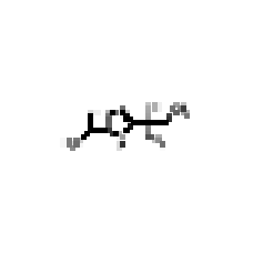 CCC(C)(C)c1cc2c([nH]1)C(C)C2